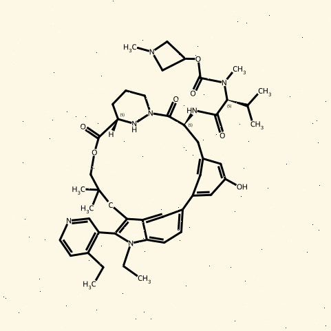 CCc1ccncc1-c1c2c3cc(ccc3n1CC)-c1cc(O)cc(c1)C[C@H](NC(=O)[C@H](C(C)C)N(C)C(=O)OC1CN(C)C1)C(=O)N1CCC[C@H](N1)C(=O)OCC(C)(C)C2